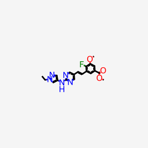 CCn1cc(Nc2ncc(C=Cc3cc(C(=O)OC)cc(OC)c3F)cn2)cn1